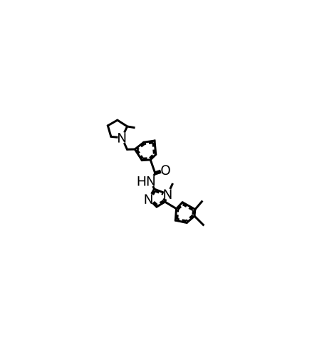 Cc1ccc(-c2cnc(NC(=O)c3cccc(CN4CCCC4C)c3)n2C)cc1C